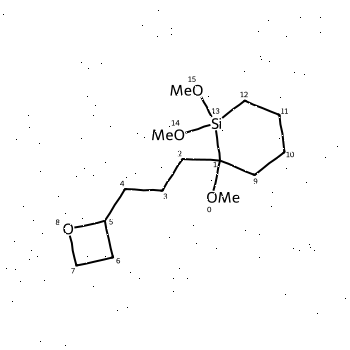 COC1(CCCC2CCO2)CCCC[Si]1(OC)OC